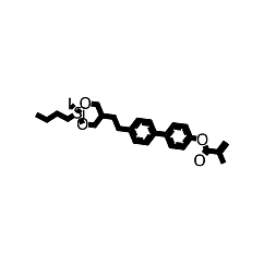 C=C(C)C(=O)Oc1ccc(-c2ccc(CCC3CO[Si](I)(CCCC)OC3)cc2)cc1